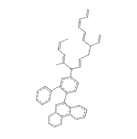 C=C/C=C\C=C\C(C=C)C/C=C/N(/C(C)=C/C=C\C)c1ccc(-c2cc3ccccc3c3ccccc23)c(-c2ccccc2)c1